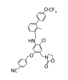 Cc1c(CNc2cc(OCc3ccc(C#N)cc3)c(CN3CCOC3=O)cc2Cl)cccc1-c1ccc(OC(F)(F)F)cc1